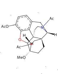 CO[C@@]12CC[C@]3(C[C@H]1C(C)=O)[C@H]1Cc4ccc(OC(C)=O)c5c4[C@]3(CCN1C(C)=O)[C@@H]2O5